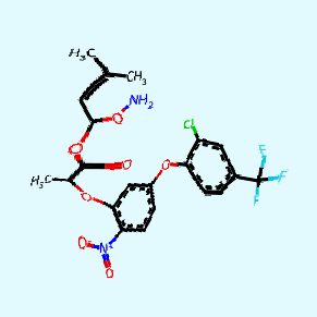 CC(C)=CC(ON)OC(=O)C(C)Oc1cc(Oc2ccc(C(F)(F)F)cc2Cl)ccc1[N+](=O)[O-]